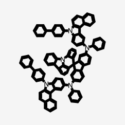 c1ccc(-c2ccc(-n3c4ccc(N(c5ccccc5)c5ccc6c(c5)C5(c7cc(N(c8ccccc8)c8ccc9c(c8)c8c%10ccccc%10ccc8n9-c8ccc(-c9ccccc9)cc8)ccc7-6)c6ccccc6-n6c7ccccc7c7cccc5c76)cc4c4c5ccccc5ccc43)cc2)cc1